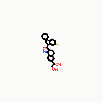 OCC(O)c1ccc2c(c1)CCc1c-2noc1CCC1(c2ccc(F)cc2)CCCCC1